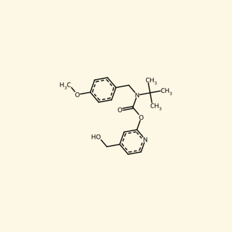 COc1ccc(CN(C(=O)Oc2cc(CO)ccn2)C(C)(C)C)cc1